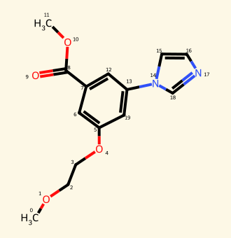 COCCOc1cc(C(=O)OC)cc(-n2ccnc2)c1